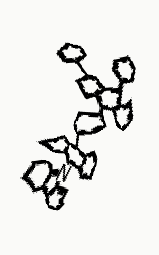 C1=Cc2c(c3ccccc3n2-c2c3ccccc3c(-c3ccc(-c4c5ccccc5c(-c5ccccc5)c5cc(-c6ccccc6)ccc45)cc3)c3ccccc23)CC1